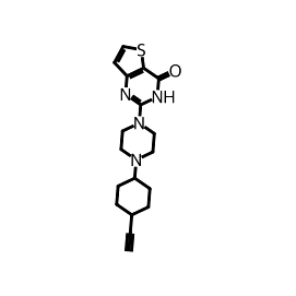 C#CC1CCC(N2CCN(c3nc4ccsc4c(=O)[nH]3)CC2)CC1